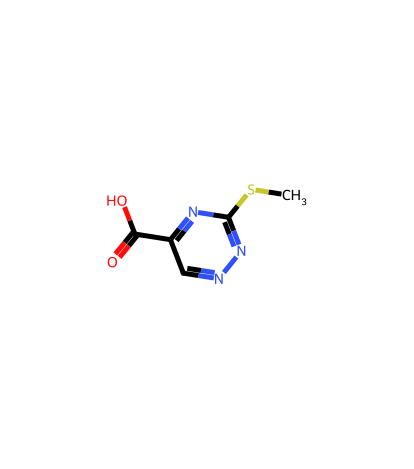 CSc1nncc(C(=O)O)n1